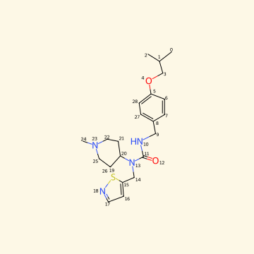 CC(C)COc1ccc(CNC(=O)N(Cc2ccns2)C2CCN(C)CC2)cc1